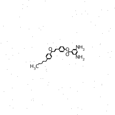 CCCCCc1ccc(C(=O)/C=C/c2ccc(OC(=O)c3cc(N)cc(N)c3)cc2)cc1